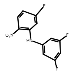 O=[N+]([O-])c1ccc(F)cc1Nc1cc(F)cc(F)c1